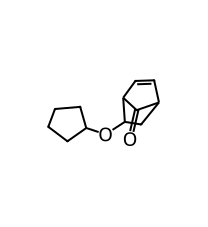 O=C1C2C=CC1C(OC1CCCC1)C2